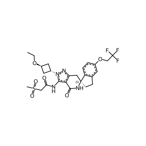 CCO[C@H]1C[C@H](n2nc3c(c2NC(=O)CS(C)(=O)=O)C(=O)N[C@@]2(CCc4cc(OCC(F)(F)F)ccc42)C3)C1